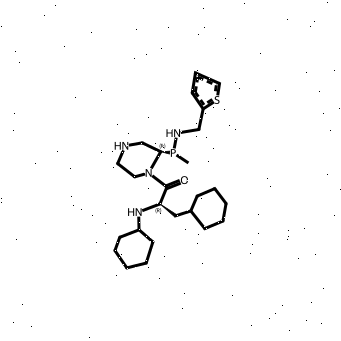 CP(NCc1cccs1)[C@@H]1CNCCN1C(=O)[C@@H](CC1CCCCC1)NC1CCCCC1